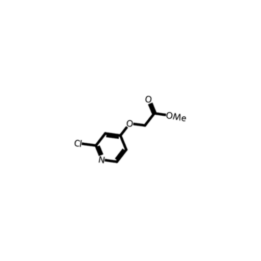 COC(=O)COc1ccnc(Cl)c1